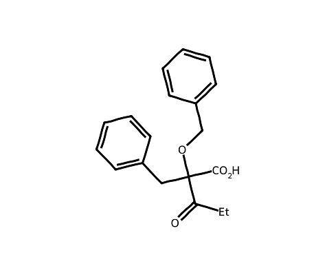 CCC(=O)C(Cc1ccccc1)(OCc1ccccc1)C(=O)O